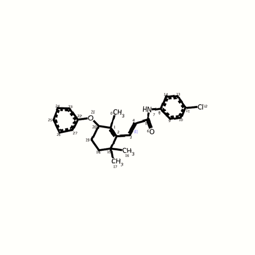 CC1=C(/C=C/C(=O)Nc2ccc(Cl)cc2)C(C)(C)CCC1Oc1ccccc1